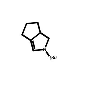 CC(C)(C)N1C=C2CCCC2C1